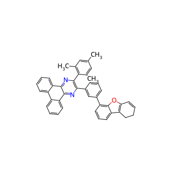 Cc1cc(C)c(-c2nc3c4ccccc4c4ccccc4c3nc2-c2cccc(-c3cccc4c5c(oc34)C=CCC5)c2)c(C)c1